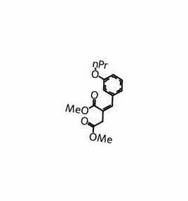 CCCOc1cccc(C=C(CC(=O)OC)C(=O)OC)c1